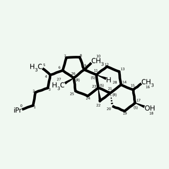 CC(C)CCCC(C)C1CCC2(C)[C@@H]3CCC4C(C)[C@@H](O)CC[C@@]45C[C@@]35CC[C@]12C